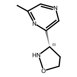 Cc1cncc([C@@H]2CCON2)n1